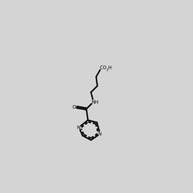 O=C(O)CCCNC(=O)c1cnccn1